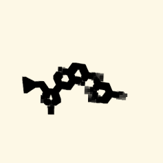 CC(C)C1=CNNC(Nc2ccc3ncc(-c4cn(C)nc4CC4CC4)cc3n2)=C1